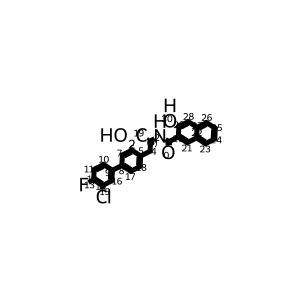 O=C(N[C@@H](Cc1ccc(-c2ccc(F)c(Cl)c2)cc1)C(=O)O)c1cc2ccccc2cc1O